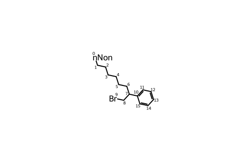 CCCCCCCCCCCCCCCC(CBr)c1ccccc1